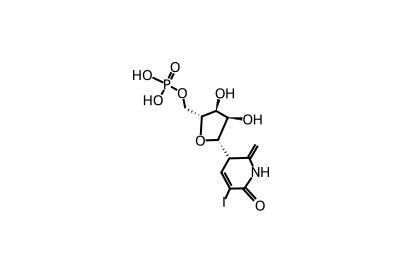 C=C1NC(=O)C(I)=CC1[C@@H]1O[C@H](COP(=O)(O)O)[C@@H](O)[C@H]1O